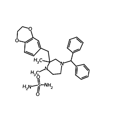 CN1CCN(C(c2ccccc2)c2ccccc2)CC1(C)Cc1ccc2c(c1)OCCO2.NS(N)(=O)=O